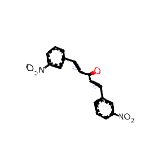 O=C(/C=C/c1cccc([N+](=O)[O-])c1)/C=C/c1cccc([N+](=O)[O-])c1